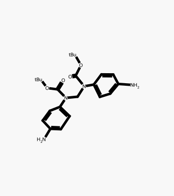 CC(C)(C)OC(=O)N(CN(C(=O)OC(C)(C)C)c1ccc(N)cc1)c1ccc(N)cc1